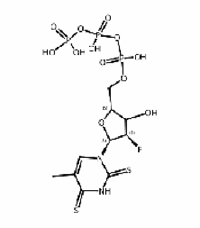 Cc1cn([C@H]2O[C@@H](COP(=O)(O)OP(=O)(O)OP(=O)(O)O)C(O)[C@H]2F)c(=S)[nH]c1=S